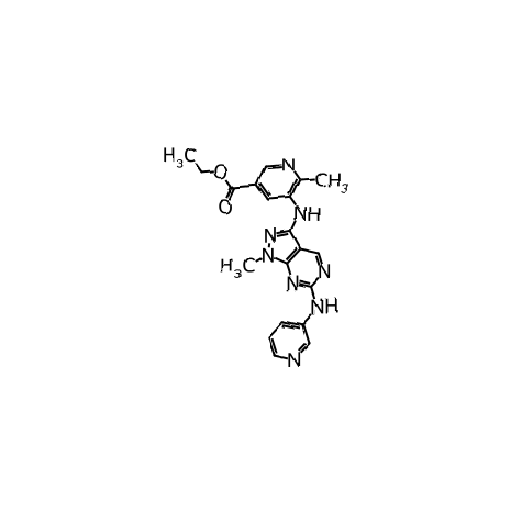 CCOC(=O)c1cnc(C)c(Nc2nn(C)c3nc(Nc4cccnc4)ncc23)c1